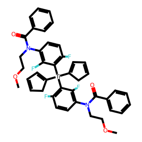 COCCN(C(=O)c1ccccc1)c1ccc(F)[c]([Ti]([C]2=CC=CC2)([C]2=CC=CC2)[c]2c(F)ccc(N(CCOC)C(=O)c3ccccc3)c2F)c1F